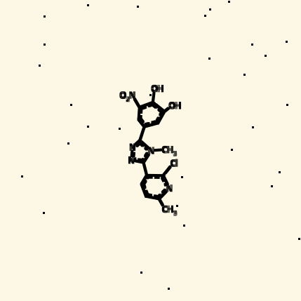 Cc1ccc(-c2nnc(-c3cc(O)c(O)c([N+](=O)[O-])c3)n2C)c(Cl)n1